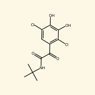 CC(C)(C)NC(=O)C(=O)c1cc(Cl)c(O)c(O)c1Cl